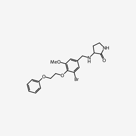 COc1cc(CNC2CCNC2=O)cc(Br)c1OCCOc1ccccc1